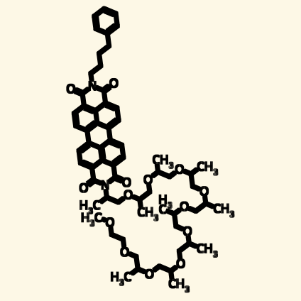 COCCOCC(C)OCC(C)OCC(C)OCC(C)OCC(C)OCC(C)OCC(C)OCC(C)OCC(C)N1C(=O)c2ccc3c4ccc5c6c(ccc(c7ccc(c2c37)C1=O)c64)C(=O)N(CCCCc1ccccc1)C5=O